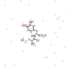 CC(=O)SCC(C(=O)N[C@@H](Cc1ccc(O)c(O)c1)C(=O)O)C(F)(F)F